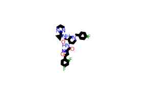 O=C(N[C@H]1CCN(Cc2ccc(F)cc2)C[C@@H]1C(=O)NC1(c2ncccn2)CC1)c1cc(-c2ccc(F)cc2F)on1